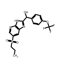 CCCS(=O)(=O)c1cnc2[nH]c(C(O)c3ccc(OC(F)(F)F)cc3)nc2c1